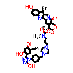 CCc1c2c(nc3ccc(O)cc13)-c1cc3c(c(=O)n1C2)COC(=O)[C@@]3(CC)OC(=O)N(C)CCCN1CCN(Cc2ccc(-n3c(O)nnc3-c3cc(C(C)C)c(O)cc3O)cc2)CC1